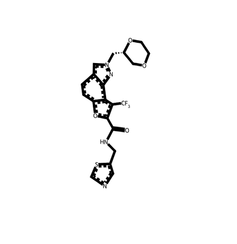 O=C(NCc1cncs1)c1oc2ccc3cn(C[C@H]4COCCO4)nc3c2c1C(F)(F)F